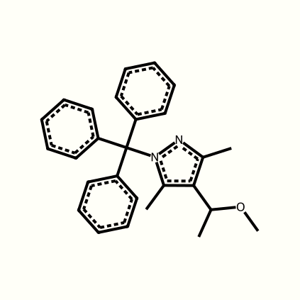 COC(C)c1c(C)nn(C(c2ccccc2)(c2ccccc2)c2ccccc2)c1C